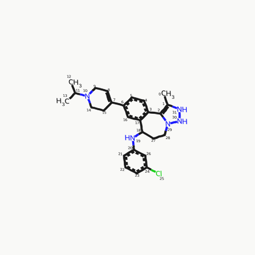 CC1=C2c3ccc(C4=CCN(C(C)C)CC4)cc3C(Nc3cccc(Cl)c3)CCN2NN1